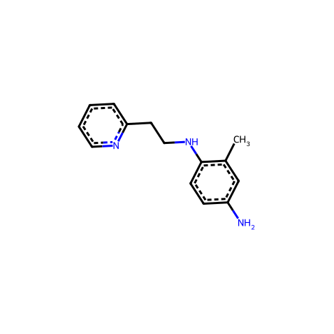 Cc1cc(N)ccc1NCCc1ccccn1